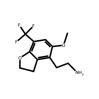 COc1cc(C(F)(F)F)c2c(c1CCN)CCO2